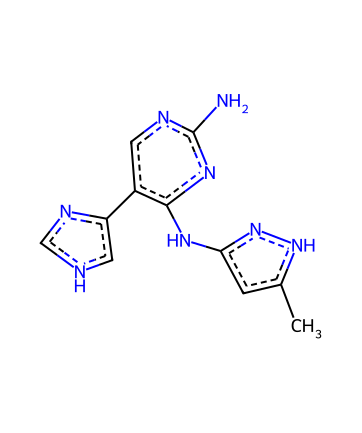 Cc1cc(Nc2nc(N)ncc2-c2c[nH]cn2)n[nH]1